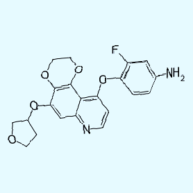 Nc1ccc(Oc2ccnc3cc(OC4CCOC4)c4c(c23)OCCO4)c(F)c1